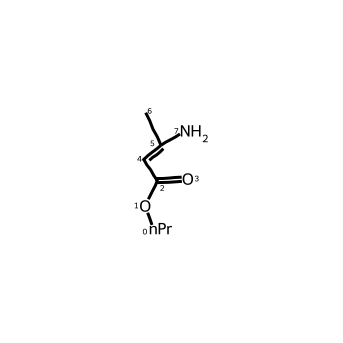 CCCOC(=O)C=C(C)N